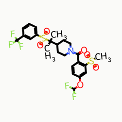 CC(C)(C1CCN(C(=O)c2ccc(OC(F)F)cc2S(C)(=O)=O)CC1)S(=O)(=O)c1cccc(C(F)(F)F)c1